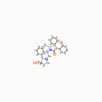 O=C(C1c2ccccc2Oc2ccccc21)N1CCc2ccccc2C1CN1CC[C@H](O)C1